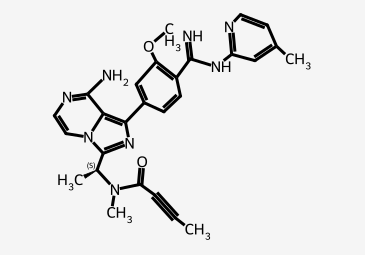 CC#CC(=O)N(C)[C@@H](C)c1nc(-c2ccc(C(=N)Nc3cc(C)ccn3)c(OC)c2)c2c(N)nccn12